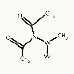 CC(=O)[N](C(C)=O)[W]([CH3])[W]